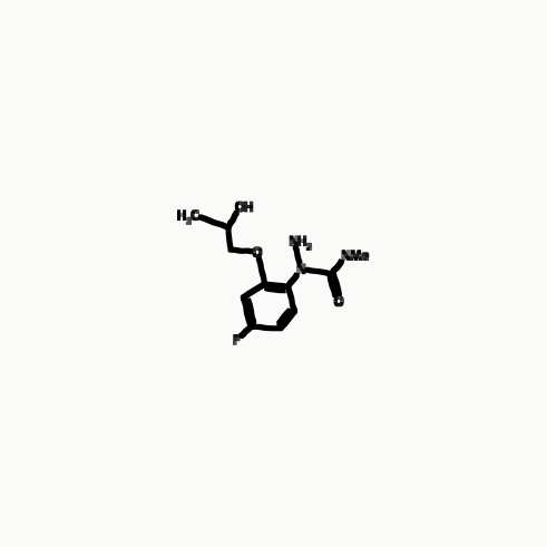 CNC(=O)N(N)c1ccc(F)cc1OCC(C)O